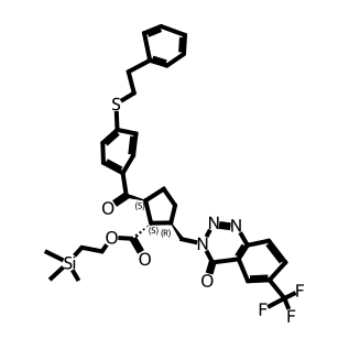 C[Si](C)(C)CCOC(=O)[C@H]1[C@H](Cn2nnc3ccc(C(F)(F)F)cc3c2=O)CC[C@@H]1C(=O)c1ccc(SCCc2ccccc2)cc1